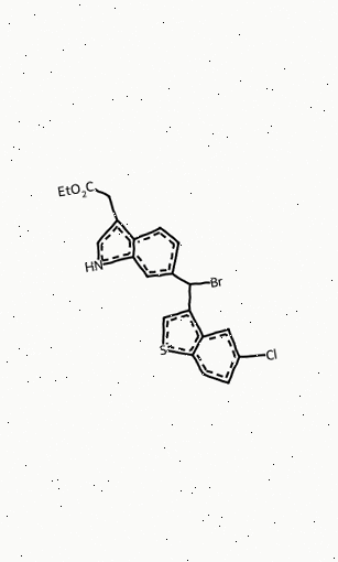 CCOC(=O)Cc1c[nH]c2cc(C(Br)c3csc4ccc(Cl)cc34)ccc12